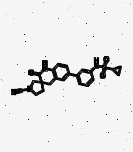 N#CN1CCC2(Cc3cc(-c4cccc(NS(=O)(=O)C5CC5)c4)ccc3NC2=O)C1